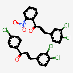 O=C(C=Cc1ccc(Cl)c(Cl)c1)c1ccc(Cl)cc1.O=C(C=Cc1ccc(Cl)c(Cl)c1)c1ccccc1[N+](=O)[O-]